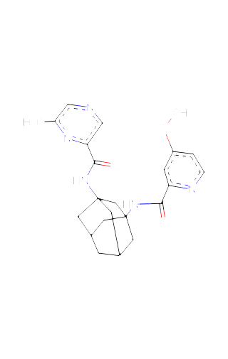 COc1ccnc(C(=O)NC23CC4CC(C2)CC(NC(=O)c2cncc(C)n2)(C4)C3)c1